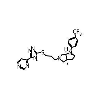 Cn1c(SCCCN2C[C@H]3N(c4ccc(C(F)(F)F)cc4)CC[C@@]3(C)C2)nnc1-c1ccncn1